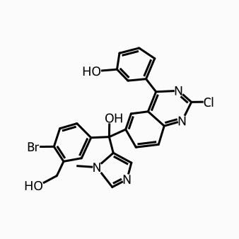 Cn1cncc1C(O)(c1ccc(Br)c(CO)c1)c1ccc2nc(Cl)nc(-c3cccc(O)c3)c2c1